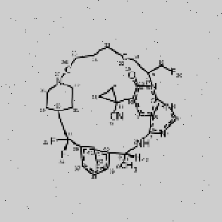 C[C@H]1Nc2ncnc3c2cc(C2(C#N)CC2)c(=O)n3C(CF)CCCCCCN2CCC(CC2)C(F)(F)c2cccc1c2F